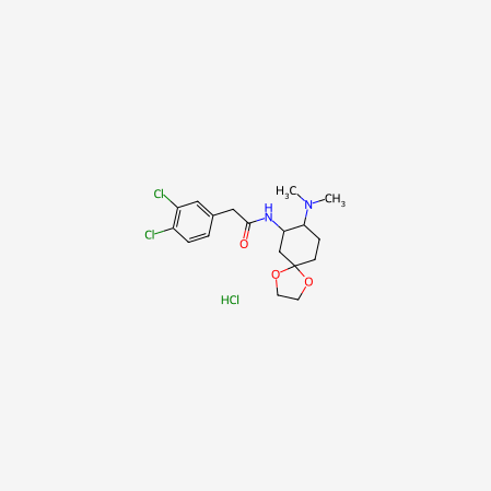 CN(C)C1CCC2(CC1NC(=O)Cc1ccc(Cl)c(Cl)c1)OCCO2.Cl